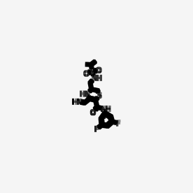 CC(C)S(=O)(=O)NCC1CSC(C(=O)Nc2cc(F)cc(F)c2)=C(C=N)N1